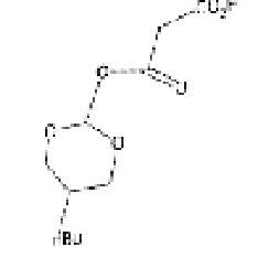 CCCCC1COC(OC(=O)CC(=O)O)OC1